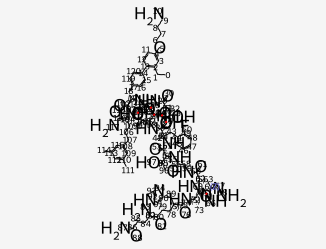 CCc1cc(OCCCCN)ccc1-c1ccc(C[C@H](NC(=O)[C@H](CC(=O)O)NC(=O)[C@H](CO)NC(=O)[C@@H](NC(=O)[C@](C)(Cc2ccccc2F)NC(=O)[C@@H](NC(=O)CNC(=O)[C@H](C/C(N=N)=N/N)NC(=O)[C@H](C)NC(=O)[C@@H](CCC(=O)[C@@H](N)CCC(N)=O)Cc2c[nH]cn2)[C@@H](C)O)[C@@H](C)O)C(=O)N[C@@H](CCCc2cc(C)cc(C)c2)C(N)=O)cc1